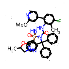 COc1cc(-c2ccc(F)c(C)c2NC(=O)N(C(c2ccccc2)(c2ccccc2)c2ccccc2)S(=N)(=O)c2cnn3c2OC(C)C3)ccn1